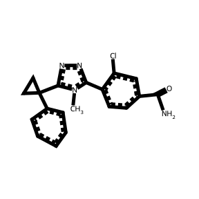 Cn1c(-c2ccc(C(N)=O)cc2Cl)nnc1C1(c2ccccc2)CC1